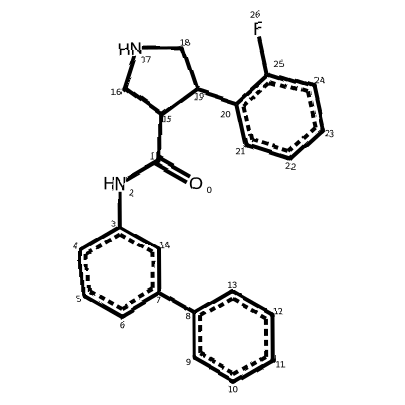 O=C(Nc1cccc(-c2ccccc2)c1)C1CNCC1c1ccccc1F